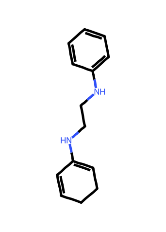 C1=CC(NCCNc2ccccc2)=CCC1